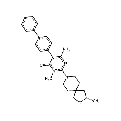 C[C@H]1CC2(CCN(c3nc(N)c(-c4ccc(-c5ccccc5)cc4)c(=O)n3C)CC2)CO1